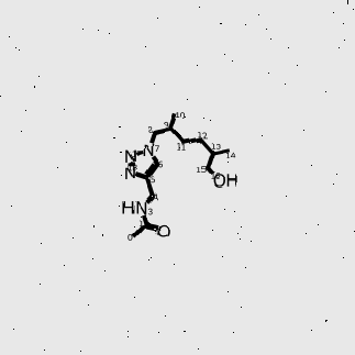 CC(=O)NCc1cn(CC(C)CCC(C)CO)nn1